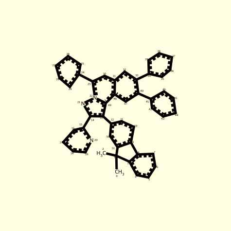 CC1(C)c2ccccc2-c2ccc(-c3c(-c4ccccn4)nn4c(-c5ccccc5)cc5cc(-c6ccccc6)c(-c6ccccc6)cc5c34)cc21